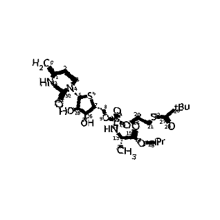 C=C1C=CN([C@@H]2S[C@H](COP(=O)(N[C@@H](C)C(=O)OC(C)C)OCCSC(=O)C(C)(C)C)[C@@H](O)[C@H]2O)C(=O)N1